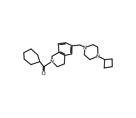 O=C(C1CCCCC1)N1CCc2cc(CN3CCN(C4CCC4)CC3)ccc2C1